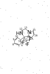 FC(F)(F)C1(c2ccccc2)NCCn2cccc21